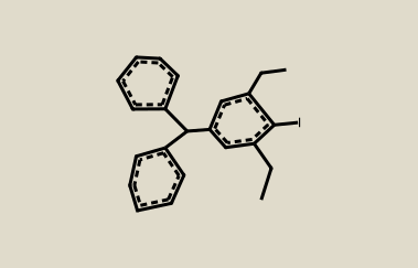 CCc1cc(C(c2ccccc2)c2ccccc2)cc(CC)c1I